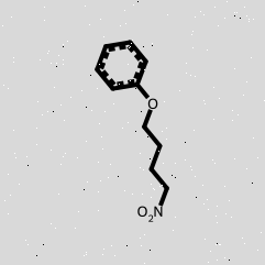 O=[N+]([O-])CCCCOc1ccccc1